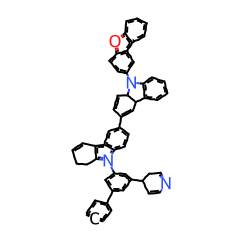 C1=Cc2c(n(-c3cc(-c4ccccc4)cc(C4C=CN=CC4)c3)c3ccc(C4=CC5c6ccccc6N(c6ccc7oc8ccccc8c7c6)C5C=C4)cc23)CC1